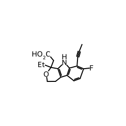 CC#Cc1c(F)ccc2c3c([nH]c12)C(CC)(CC(=O)O)OCC3